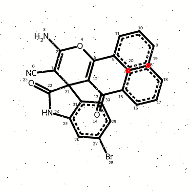 N#CC1=C(N)OC(c2ccccc2)=C(C(=O)c2ccccc2)C12C(=O)Nc1cc(Br)ccc12